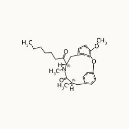 CCCCCCC(=O)[C@@H]1Cc2ccc(OC)c(c2)Oc2ccc(cc2)C[C@H](C)C(=O)N1C